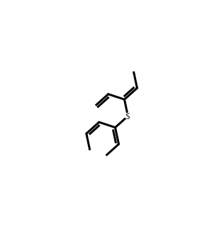 C=C/C(=C\C)SC(/C=C\C)=C/C